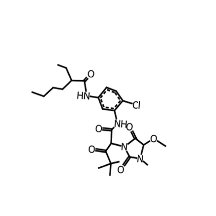 CCCCC(CC)C(=O)Nc1ccc(Cl)c(NC(=O)C(C(=O)C(C)(C)C)N2C(=O)C(OC)N(C)C2=O)c1